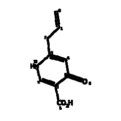 C=CCc1cc(=O)c(C(=O)O)c[nH]1